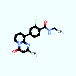 O=C(NCC(F)(F)F)c1ccc(-c2cccn3c(=O)cc(C(F)(F)F)nc23)cc1F